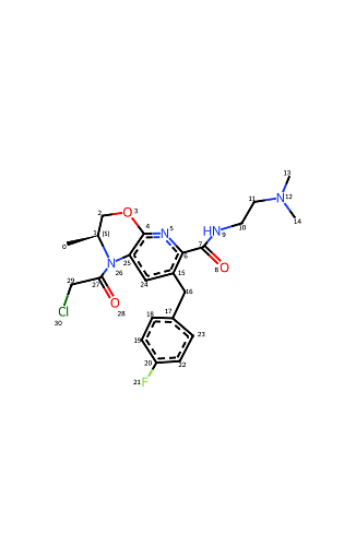 C[C@H]1COc2nc(C(=O)NCCN(C)C)c(Cc3ccc(F)cc3)cc2N1C(=O)CCl